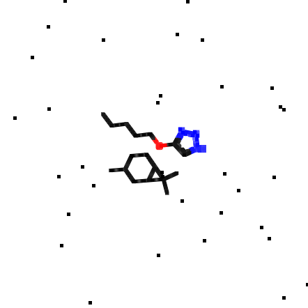 CC1CCC2C(C1)C2(C)C.CCCCCOc1c[nH]nn1